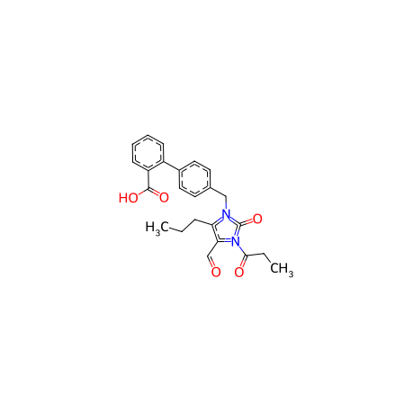 CCCc1c(C=O)n(C(=O)CC)c(=O)n1Cc1ccc(-c2ccccc2C(=O)O)cc1